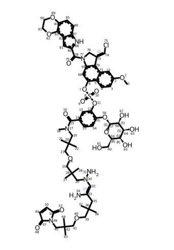 COc1ccc2c(OS(=O)(=O)Oc3cc(C(=O)N(C)CC(C)(C)COCC(C)(C)CN(N)/C=C(\N)CC(C)(C)COCC(C)(C)CN4C(=O)C=CC4=O)ccc3O[C@@H]3O[C@H](CO)[C@H](O)[C@H](O)[C@@H]3O)cc3c(c2c1)/C(=C/Cl)CN3C(=O)c1cc2c3c(ccc2[nH]1)OCCO3